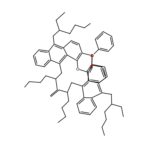 CCCCC(CC)Cc1c2ccccc2c(CC(CC)CCCC)c2c(Oc3c(Oc4ccccc4)ccc4c(CC(CC)CCCC)c5ccccc5c(CC(CC)CCCC)c34)c(Oc3ccccc3)ccc12